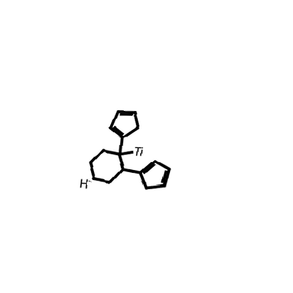 [H-].[Ti][C]1(C2=CC=CC2)CCCCC1C1=CC=CC1